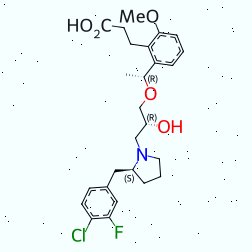 COc1cccc([C@@H](C)OC[C@H](O)CN2CCC[C@H]2Cc2ccc(Cl)c(F)c2)c1CCC(=O)O